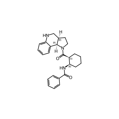 O=C(N[C@@H]1CCCC[C@@H]1C(=O)N1CC[C@@H]2CNc3ccccc3[C@@H]21)c1ccccc1